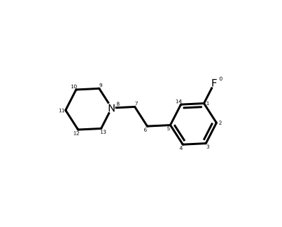 Fc1cccc(CCN2CCCCC2)c1